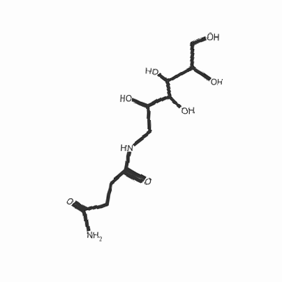 NC(=O)CCC(=O)NCC(O)C(O)C(O)C(O)CO